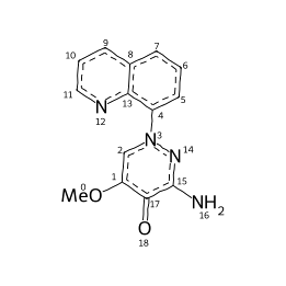 COc1cn(-c2cccc3cccnc23)nc(N)c1=O